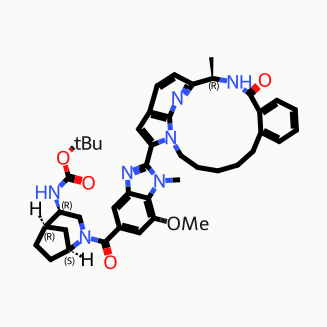 COc1cc(C(=O)N2C[C@H](NC(=O)OC(C)(C)C)[C@@H]3CC[C@H]2C3)cc2nc(-c3cc4ccc5nc4n3CCCCCc3ccccc3C(=O)N[C@@H]5C)n(C)c12